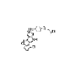 CCNCCOc1ccc(Nc2ncc3c(=O)c(-c4c(Cl)cccc4Cl)c[nH]c3n2)cc1